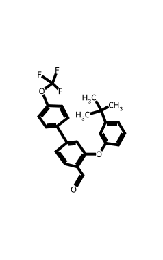 CC(C)(C)c1cccc(Oc2cc(-c3ccc(OC(F)(F)F)cc3)ccc2C=O)c1